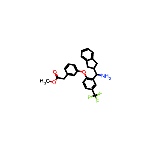 COC(=O)Cc1cccc(Oc2ccc(C(F)(F)F)cc2C(N)C2Cc3ccccc3C2)c1